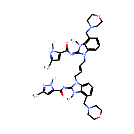 CCn1nc(C)cc1C(=O)/N=c1\n(C)c2c(CN3CCOCC3)cccc2n1C/C=C/Cn1/c(=N/C(=O)c2cc(C)nn2CC)n(C)c2c(CN3CCOCC3)cccc21